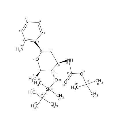 C[C@H]1O[C@@H](c2ccncc2N)C[C@@H](NC(=O)OC(C)(C)C)[C@@H]1O[Si](C)(C)C(C)(C)C